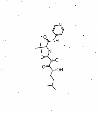 CC(C)CC[C@H](O)C(=O)N(O)C(=O)N[C@H](C(=O)Nc1ccncc1)C(C)(C)C